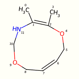 C/C1=C(\C)OC/C=C\COCN1